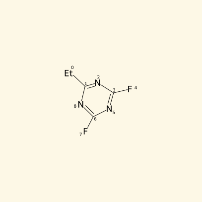 CCc1nc(F)nc(F)n1